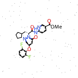 COC(=O)c1ccc(NC(=O)[C@@H](CC2CCCC2)n2ncc(Oc3c(F)cccc3F)cc2=O)nc1